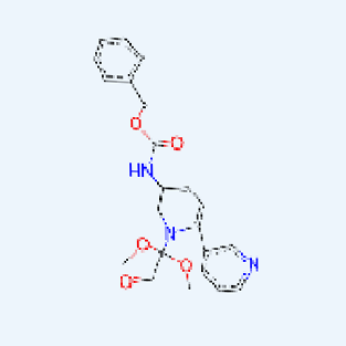 COC(C=O)(OC)N1CC(NC(=O)OCc2ccccc2)=CC=C1c1cccnc1